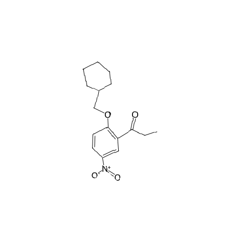 CCC(=O)c1cc([N+](=O)[O-])ccc1OCC1CCCCC1